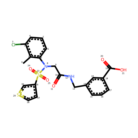 Cc1c(Cl)cccc1N(CC(=O)NCc1cccc(C(=O)O)c1)S(=O)(=O)c1ccsc1